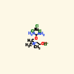 C[N+](C)(C)CCO.NC(N)=O.[Cl-].[Cl][Ru]([Cl])[Cl]